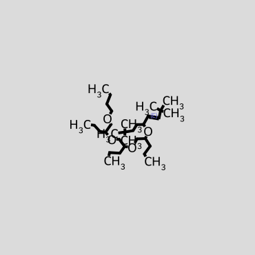 CCCCOCC(CCC)OCC(CCC)OCC(CCC)OC(/C=C/C(C)(C)C)CCC(C)(C)C